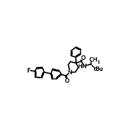 C[C@H](NC(=O)C1(c2ccccc2)CCN(C(=O)c2ccc(-c3ccc(F)cc3)cc2)CC1)C(C)(C)C